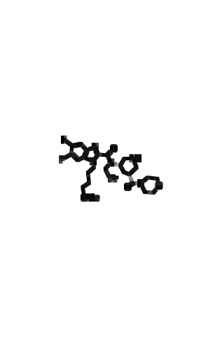 COCCCCn1c(C(=O)N(CC(C)C)[C@@H]2CNC[C@H](C(=O)N3CCOCC3)C2)nc2cc(F)c(F)cc21